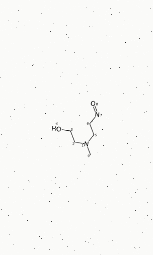 CN(CCO)CCN=O